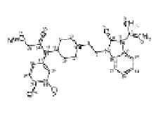 C=C(C)n1c(=O)n(CCN2CCC(N(C(=O)COC)c3ccc(Cl)c(Cl)c3)CC2)c2ccccc21